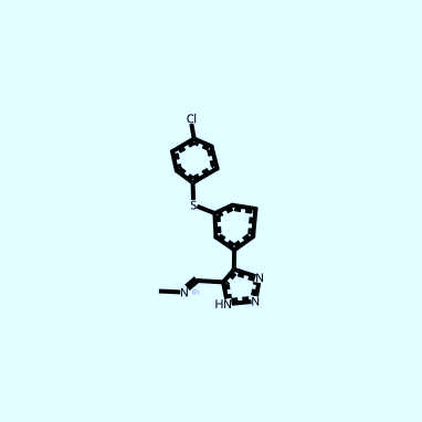 C/N=C/c1[nH]nnc1-c1cccc(Sc2ccc(Cl)cc2)c1